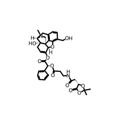 CN1CC[C@]23c4c5ccc(CO)c4O[C@H]2C(OC(=O)[C@H](OC(=O)CCNC(=O)C[C@@H]2OC(C)(C)OC2=O)c2ccccc2)=CC[C@@]3(O)[C@H]1C5